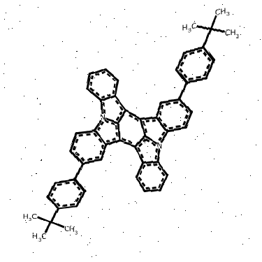 CC(C)(C)c1ccc(-c2ccc3c(c2)c2c4c5ccccc5n5c6ccc(-c7ccc(C(C)(C)C)cc7)cc6c(c6c7ccccc7n3c62)c45)cc1